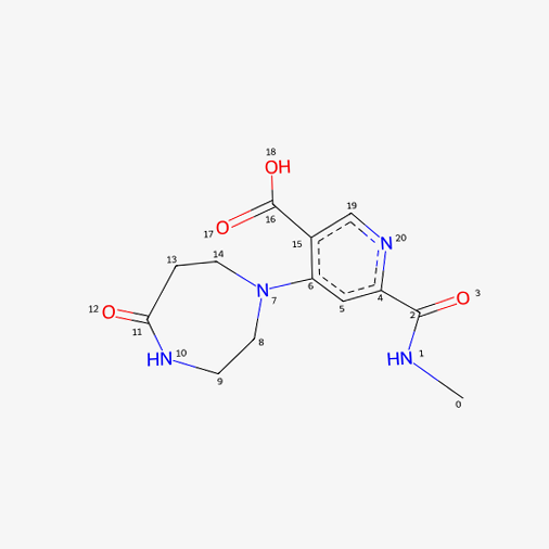 CNC(=O)c1cc(N2CCNC(=O)CC2)c(C(=O)O)cn1